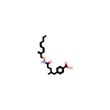 C=C(/C=C\C=C/CCC)CONC(=O)CCC(C)Cc1ccc(C(=O)O)cc1